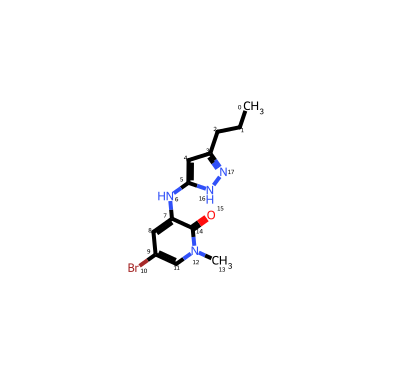 CCCc1cc(Nc2cc(Br)cn(C)c2=O)[nH]n1